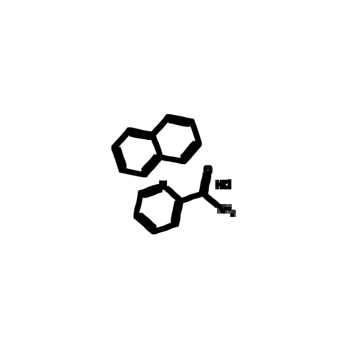 Cl.NC(=O)c1ccccn1.c1ccc2ccccc2c1